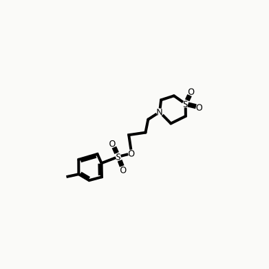 Cc1ccc(S(=O)(=O)OCCCN2CCS(=O)(=O)CC2)cc1